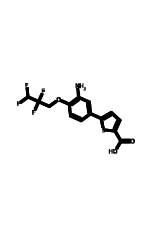 Nc1cc(-c2ccc(C(=O)O)s2)ccc1OCC(F)(F)C(F)F